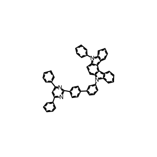 c1ccc(-c2cc(-c3ccccc3)nc(-c3ccc(-c4cccc(-n5c6ccccc6c6c7c8ccccc8n(-c8ccccc8)c7ccc65)c4)cc3)n2)cc1